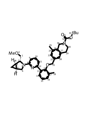 COC[C@H]1[C@@H]2C[C@@H]2CN1c1cccc(-c2cccc(C)c2OCc2cc(C)c3c(c2)CCN(C(=O)OC(C)(C)C)C3)n1